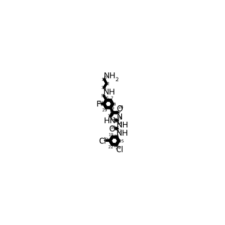 NCCCNCc1ccc(-c2c[nH]c(NC(=O)Nc3cc(Cl)cc(Cl)c3)nc2=O)cc1F